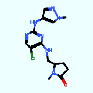 CN1C(=O)CCC1CNc1nc(Nc2cnn(C)c2)ncc1Cl